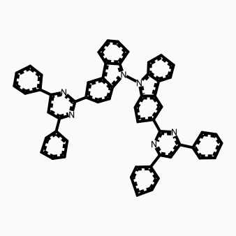 c1ccc(-c2cc(-c3ccccc3)nc(-c3ccc4c(c3)c3ccccc3n4-n3c4ccccc4c4cc(-c5nc(-c6ccccc6)cc(-c6ccccc6)n5)ccc43)n2)cc1